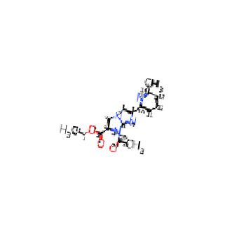 CCOC(=O)C1Cn2cc(-c3cccc(C)n3)nc2N1C(C)=O